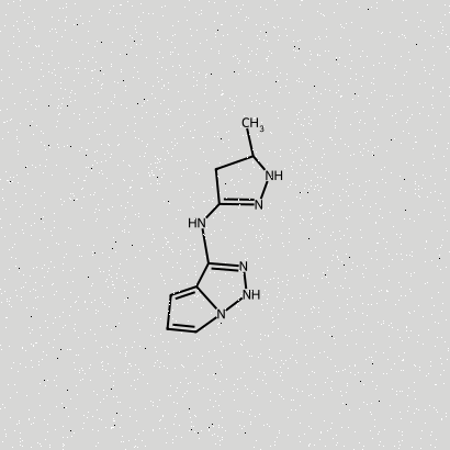 CC1CC(Nc2n[nH]n3cccc23)=NN1